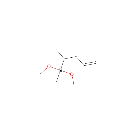 C=CCC(C)[Si](C)(OC)OC